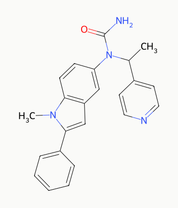 CC(c1ccncc1)N(C(N)=O)c1ccc2c(c1)cc(-c1ccccc1)n2C